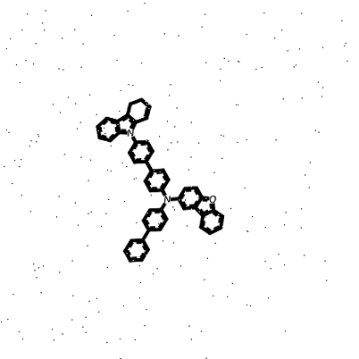 C1=Cc2c(c3ccccc3n2-c2ccc(-c3ccc(N(c4ccc(-c5ccccc5)cc4)c4ccc5oc6ccccc6c5c4)cc3)cc2)CC1